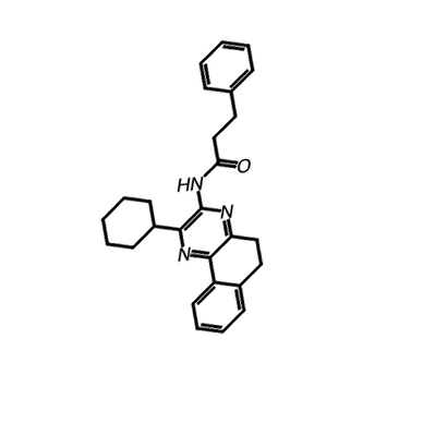 O=C(CCc1ccccc1)Nc1nc2c(nc1C1CCCCC1)-c1ccccc1CC2